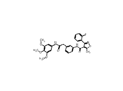 COc1cc(NC(=O)Cc2cccc(NC(=O)c3c(-c4ccccc4F)noc3C)c2)cc(OC)c1OC